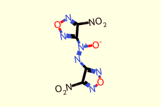 O=[N+]([O-])c1nonc1N=[N+]([O-])c1nonc1[N+](=O)[O-]